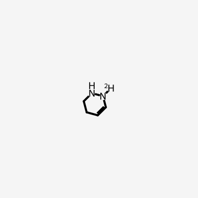 [2H]N1C=CCCN1